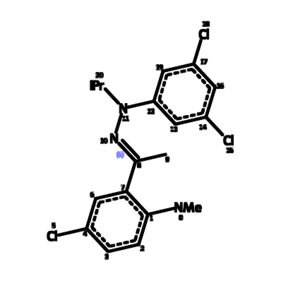 CNc1ccc(Cl)cc1/C(C)=N/N(c1cc(Cl)cc(Cl)c1)C(C)C